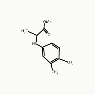 COC(=O)C(C)Nc1ccc(C)c(C)c1